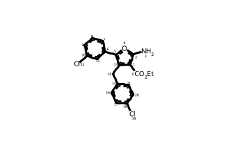 CCOC(=O)c1c(N)oc(-c2cccc(Cl)c2)c1Cc1ccc(Cl)cc1